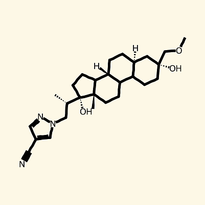 COC[C@@]1(O)CCC2C3CC[C@@]4(C)C(CC[C@]4(O)[C@@H](C)Cn4cc(C#N)cn4)[C@@H]3CC[C@H]2C1